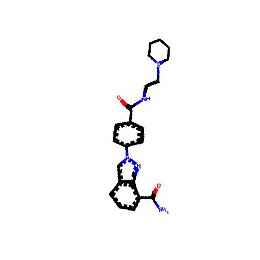 NC(=O)c1cccc2cn(-c3ccc(C(=O)NCCN4CCCCC4)cc3)nc12